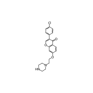 O=c1c(-c2ccc(Cl)cc2)coc2cc(OCCN3CCNCC3)ccc12